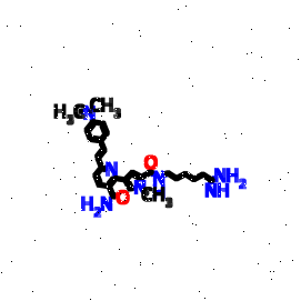 CN(C)c1ccc(C=Cc2ccc(C(N)=O)c(-c3cc(C(=O)NCCCCCC(=N)N)n(C)c3)n2)cc1